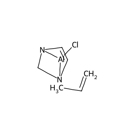 C=CC.[Cl][Al]1[N]2C=C[N]1C2